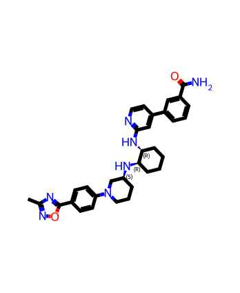 Cc1noc(-c2ccc(N3CCC[C@H](N[C@@H]4CCCC[C@H]4Nc4cc(-c5cccc(C(N)=O)c5)ccn4)C3)cc2)n1